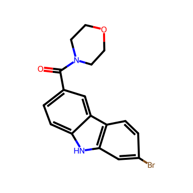 O=C(c1ccc2[nH]c3cc(Br)ccc3c2c1)N1CCOCC1